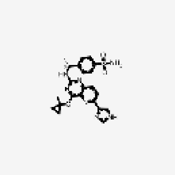 C[C@@H](Nc1nc(OC2(C)CC2)c2nc(-c3c[nH]cn3)ccc2n1)c1ccc(S(N)(=O)=O)cc1